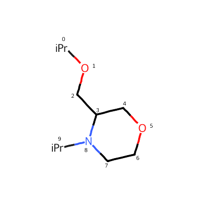 CC(C)OCC1COCCN1C(C)C